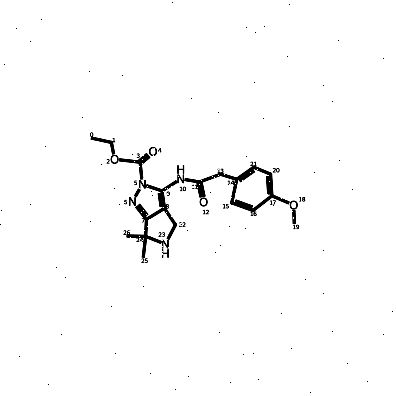 CCOC(=O)n1nc2c(c1NC(=O)Cc1ccc(OC)cc1)CNC2(C)C